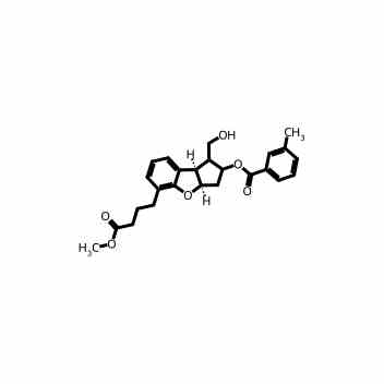 COC(=O)CCCc1cccc2c1O[C@@H]1CC(OC(=O)c3cccc(C)c3)C(CO)[C@H]21